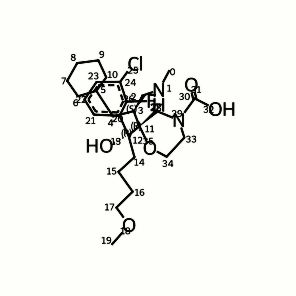 CNC[C@H](CC1CCCCC1)[C@]1([C@@](O)(CCCCOC)c2cccc(Cl)c2F)CN(C(=O)O)CCO1